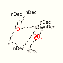 CCCCCCCCCCCCCCCCCC(CCCCCCCCCCCCCCCC)OC(CCCCCCCCCCCCCCCC)CCCCCCCCCCCCCCCCC.CCCCCCCCCCCCCCCCCC(O)CCCCCCCCCCCCCCCC.CCCCCCCCCCCCCCCCOC(=O)CCCCCCCCCCCCCCC